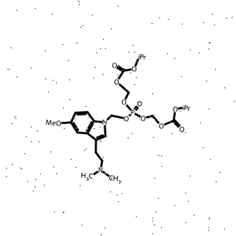 COc1ccc2c(c1)c(CCN(C)C)cn2COP(=O)(OCOC(=O)OC(C)C)OCOC(=O)OC(C)C